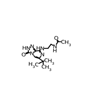 CC(=O)NCCNc1nc(C(C)(C)C)cn2c(=O)[nH]nc12